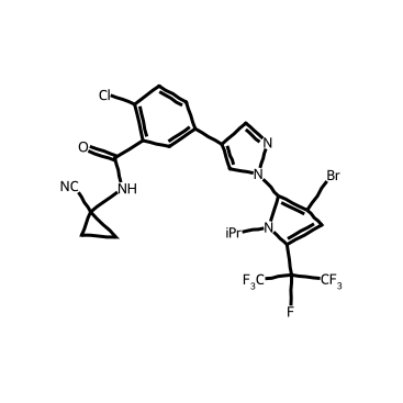 CC(C)n1c(C(F)(C(F)(F)F)C(F)(F)F)cc(Br)c1-n1cc(-c2ccc(Cl)c(C(=O)NC3(C#N)CC3)c2)cn1